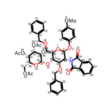 COc1ccc(O[C@@H]2O[C@H](COCc3ccccc3)[C@@H](O[C@@H]3O[C@H](COC(C)=O)[C@H](OC(C)=O)[C@H](OC(C)=O)[C@H]3OC(C)=O)[C@H](OCc3ccccc3)[C@H]2N2C(=O)c3ccccc3C2=O)cc1